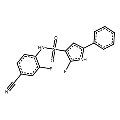 N#Cc1ccc(NS(=O)(=O)c2cc(-c3ccccc3)[nH]c2F)c(F)c1